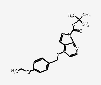 CCOc1ccc(CSc2ccnc3c2ccn3C(=O)OC(C)(C)C)cc1